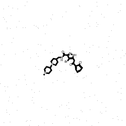 CN1CCC(N2CCC(CNC(=O)c3n[nH]c(CC(=O)c4ccccc4Cl)c3Br)CC2)CC1